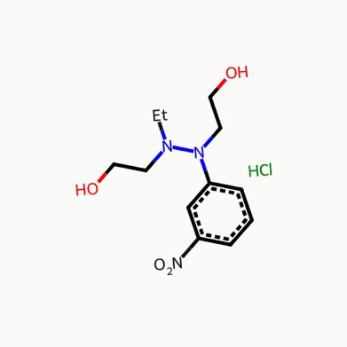 CCN(CCO)N(CCO)c1cccc([N+](=O)[O-])c1.Cl